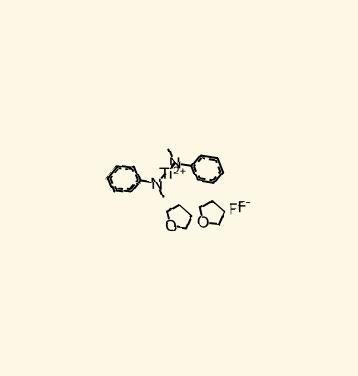 C1CCOC1.C1CCOC1.C[N]([Ti+2][N](C)c1ccccc1)c1ccccc1.[F-].[F-]